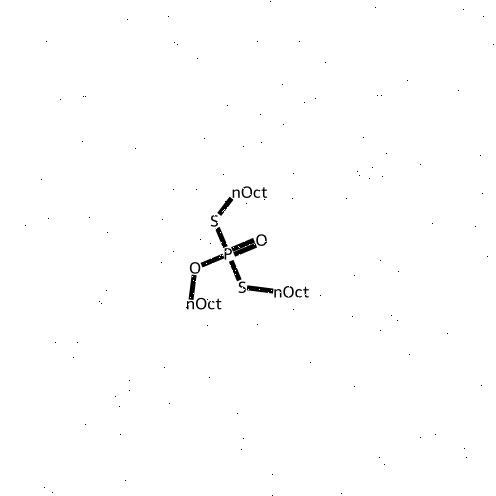 CCCCCCCCOP(=O)(SCCCCCCCC)SCCCCCCCC